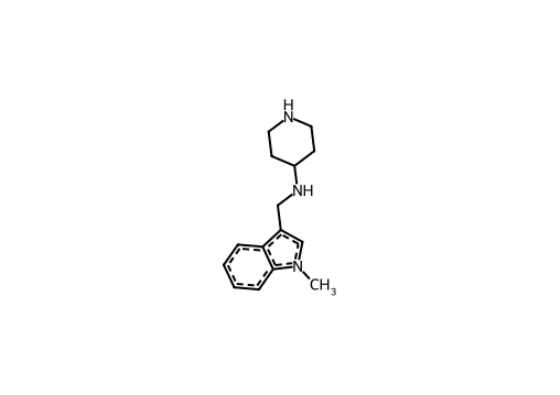 Cn1cc(CNC2CCNCC2)c2ccccc21